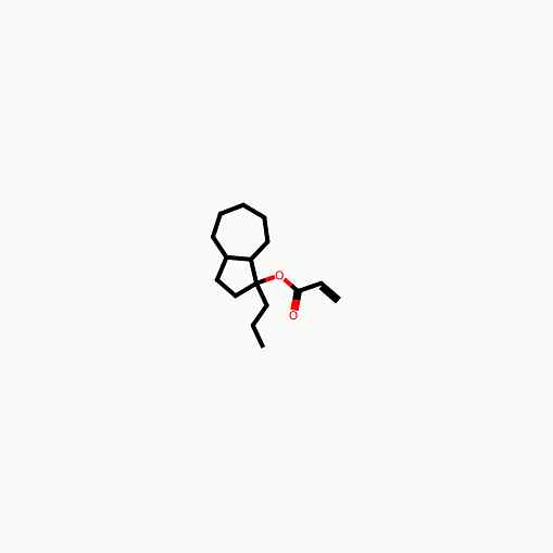 C=CC(=O)OC1(CCC)CCC2CCCCCC21